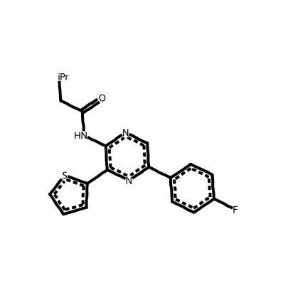 CC(C)CC(=O)Nc1ncc(-c2ccc(F)cc2)nc1-c1cccs1